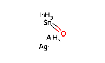 [Ag].[AlH3].[InH3].[O]=[Sn]